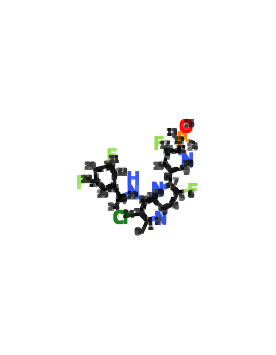 Cc1nc2cc(F)c(-c3cnc(P(C)(C)=O)c(F)c3)nc2c(N[C@H](C)c2cc(F)cc(F)c2)c1Cl